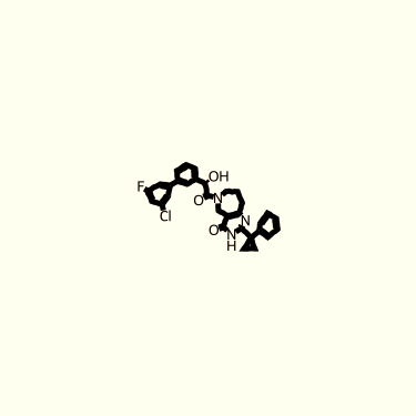 O=C([C@H](O)c1cccc(-c2cc(F)cc(Cl)c2)c1)N1CCCc2nc(C3(c4ccccc4)CC3)[nH]c(=O)c2C1